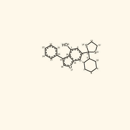 Oc1cc(C2(C3CCCCC3)SCCS2)cc2occ(-c3ccccc3)c12